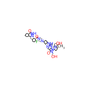 CC(C)(O)c1cccc(-n2c3nc(Nc4ccc(N5CCN(C(=O)c6cc(Cc7n[nH]c(=O)c8ccccc78)ccc6F)CC5)cc4)ncc3c(=O)n2CCO)n1